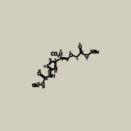 CC(C)(C)OC(=O)CO/C=C(\C(=O)O)c1csc(NC(=O)OC(C)(C)C)n1